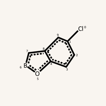 Clc1ccc2obcc2c1